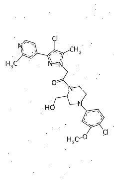 COc1cc(N2CCN(C(=O)Cn3nc(-c4ccnc(C)c4)c(Cl)c3C)C(CO)C2)ccc1Cl